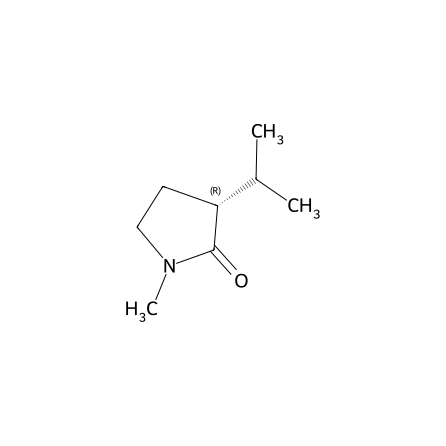 CC(C)[C@H]1CCN(C)C1=O